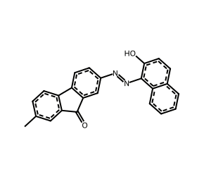 Cc1ccc2c(c1)C(=O)c1cc(N=Nc3c(O)ccc4ccccc34)ccc1-2